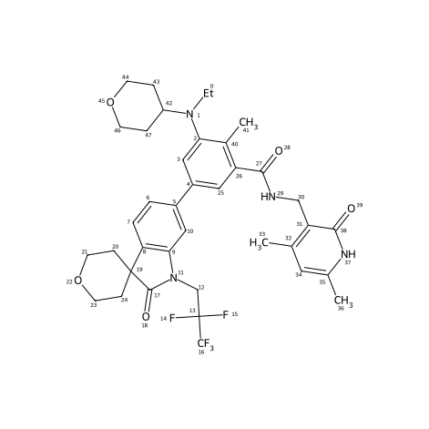 CCN(c1cc(-c2ccc3c(c2)N(CC(F)(F)C(F)(F)F)C(=O)C32CCOCC2)cc(C(=O)NCc2c(C)cc(C)[nH]c2=O)c1C)C1CCOCC1